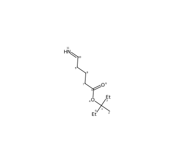 CCC(C)(CC)OC(=O)CCCC=N